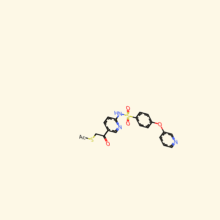 CC(=O)SCC(=O)c1ccc(NS(=O)(=O)c2ccc(Oc3cccnc3)cc2)nc1